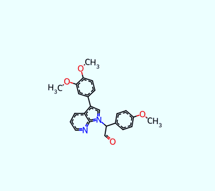 COc1ccc(C(C=O)n2cc(-c3ccc(OC)c(OC)c3)c3cccnc32)cc1